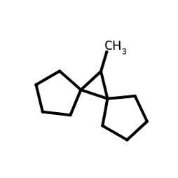 CC1C2(CCCC2)C12CCCC2